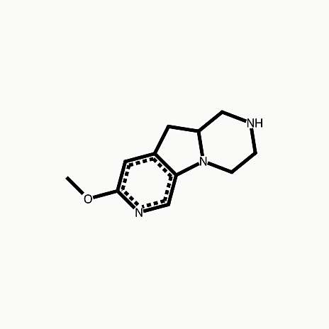 COc1cc2c(cn1)N1CCNCC1C2